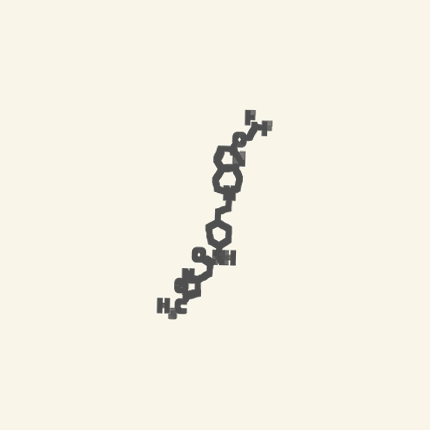 Cc1cc(CC(=O)NC2CCC(CCN3CCc4ccc(OCC(F)F)nc4CC3)CC2)no1